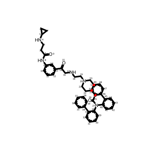 O=C(CCNC1CC1)Nc1cccc(C(=O)CNCCN2CCC(OC(=O)N(c3ccccc3-c3ccccc3)c3ccccc3-c3ccccc3)CC2)c1